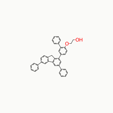 OCCOc1ccc(-c2cc(-c3ccccc3)cc3c2Cc2ccc(-c4ccccc4)cc2-3)cc1-c1ccccc1